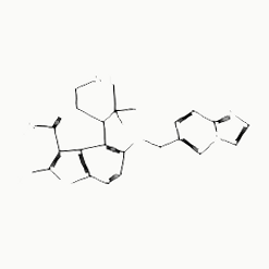 Cc1oc2ccc(OCc3ccc4nccn4c3)c(C3CCNCC3(F)F)c2c1C(N)=O